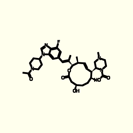 CC(=O)N1CCC(n2cnc3c(F)cc(/C=C(\C)[C@H]4OC(=O)C[C@H](O)CC[C@H](C)[C@@H](C5CN(C)CCN5C(=O)O)/C=C/[C@@H]4C)cc32)CC1